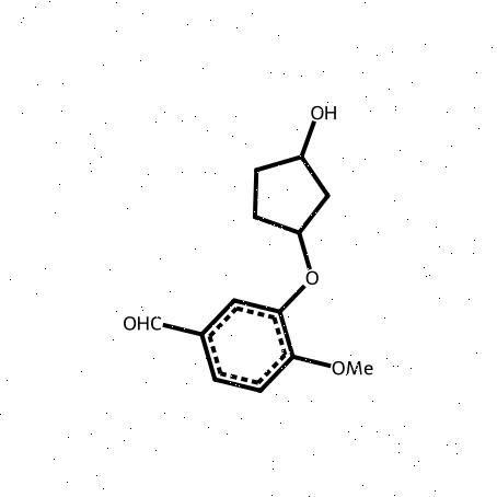 COc1ccc(C=O)cc1OC1CCC(O)C1